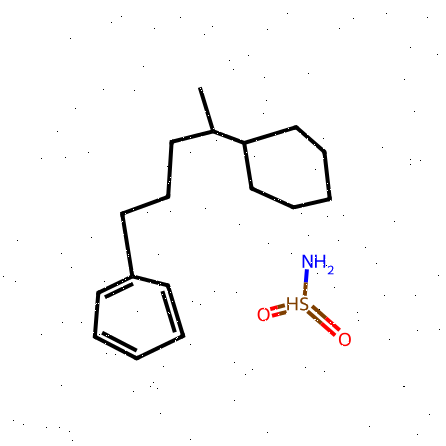 CC(CCCc1ccccc1)C1CCCCC1.N[SH](=O)=O